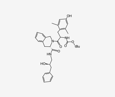 Cc1cc(O)cc(C)c1CC(NC(=O)OC(C)(C)C)C(=O)N1Cc2ccccc2C[C@H]1C(=O)NC[C@H](O)Cc1ccccc1